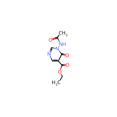 CCOC(=O)c1cncn(NC(C)=O)c1=O